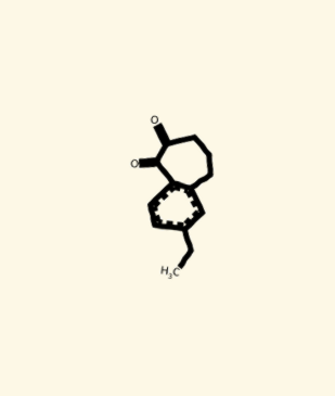 CCc1ccc2c(c1)CCCC(=O)C2=O